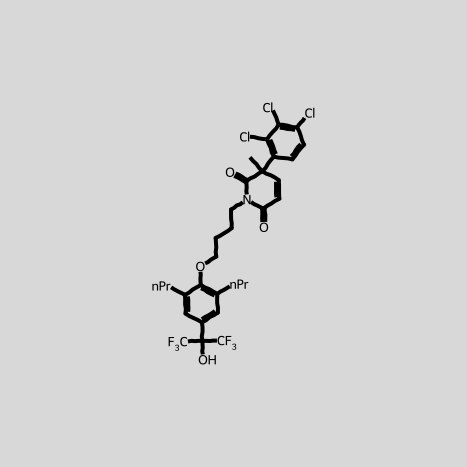 CCCc1cc(C(O)(C(F)(F)F)C(F)(F)F)cc(CCC)c1OCCCCN1C(=O)C=CC(C)(c2ccc(Cl)c(Cl)c2Cl)C1=O